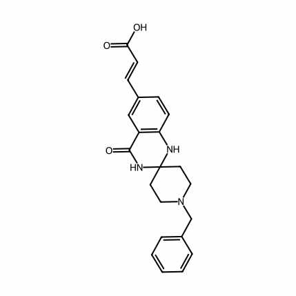 O=C(O)C=Cc1ccc2c(c1)C(=O)NC1(CCN(Cc3ccccc3)CC1)N2